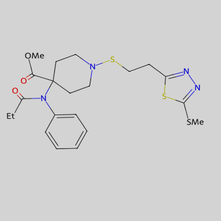 CCC(=O)N(c1ccccc1)C1(C(=O)OC)CCN(SCCc2nnc(SC)s2)CC1